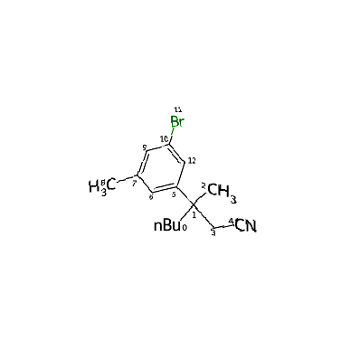 CCCCC(C)(CC#N)c1cc(C)cc(Br)c1